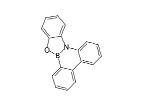 c1ccc2c(c1)OB1c3ccccc3-c3ccccc3N12